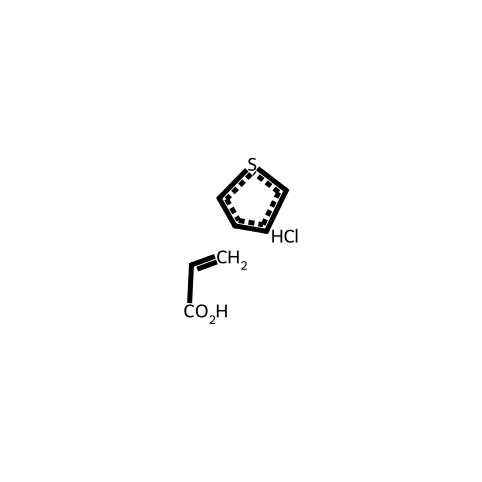 C=CC(=O)O.Cl.c1ccsc1